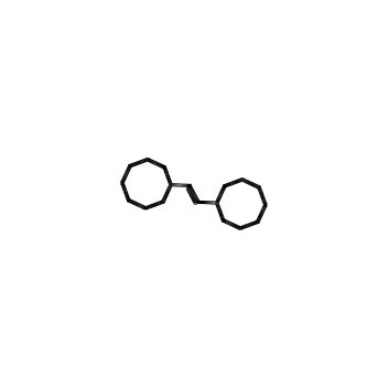 C(=CC1CCCCCCC1)C1CCCCCCC1